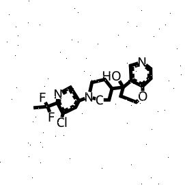 CC(F)(F)c1ncc(N2CCC(C3(O)CCOc4ccncc43)CC2)cc1Cl